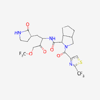 O=C1NCCC1CC(NC(=O)C1C2CCCC2CN1C(=O)c1csc(C(F)(F)F)n1)C(=O)COC(F)(F)F